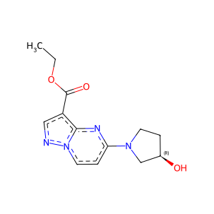 CCOC(=O)c1cnn2ccc(N3CC[C@@H](O)C3)nc12